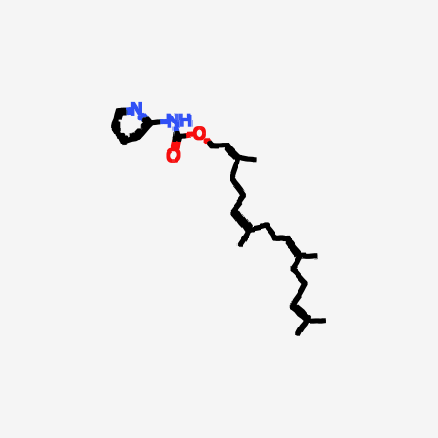 CC(C)=CCCC(C)=CCCC(C)=CCCC(C)=CCOC(=O)Nc1ccccn1